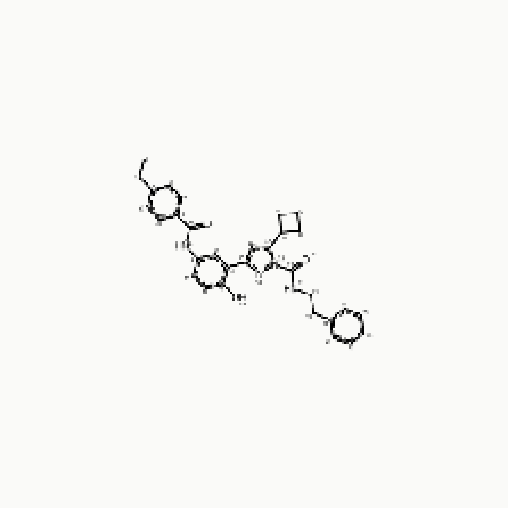 CCc1ccc(C(=O)Nc2ccc(O)c(-c3cc(C4CCC4)n(C(=O)NCCc4ccccc4)n3)c2)cc1